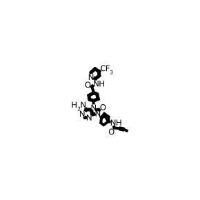 CC#CC(=O)NC12CCC(n3c(=O)n(-c4ccc(C(=O)Nc5cc(C(F)(F)F)ccn5)cc4)c4c(N)ncnc43)(CC1)C2